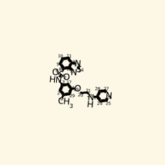 Cc1cc(NS(=O)(=O)c2cccc3nsnc23)cc(OCCNc2ccncc2)c1